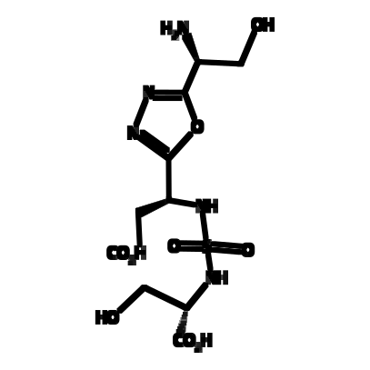 N[C@@H](CO)c1nnc([C@H](CC(=O)O)NS(=O)(=O)N[C@@H](CO)C(=O)O)o1